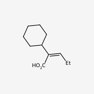 CCC=C(C(=O)O)C1CCCCC1